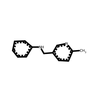 Cc1ccc(CNc2ccccc2)cn1